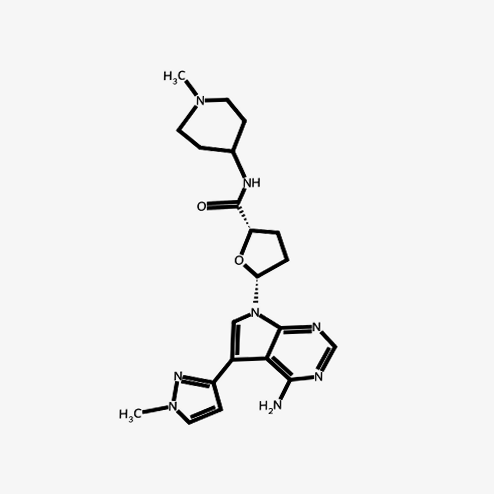 CN1CCC(NC(=O)[C@@H]2CC[C@H](n3cc(-c4ccn(C)n4)c4c(N)ncnc43)O2)CC1